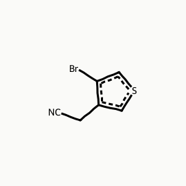 N#CCc1cscc1Br